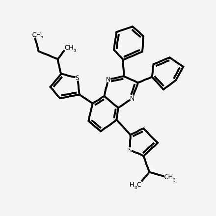 CCC(C)c1ccc(-c2ccc(-c3ccc(C(C)C)s3)c3nc(-c4ccccc4)c(-c4ccccc4)nc23)s1